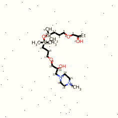 CCC(O)COCCC[Si](C)(C)O[Si](C)(C)CCCOCC(O)CN1CCN(C)CC1